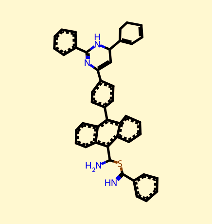 N=C(SC(N)c1c2ccccc2c(-c2ccc(C3=CC(C4=CC=CCC4)NC(c4ccccc4)=N3)cc2)c2ccccc12)c1ccccc1